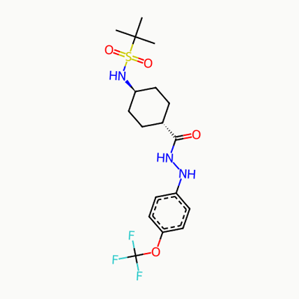 CC(C)(C)S(=O)(=O)N[C@H]1CC[C@H](C(=O)NNc2ccc(OC(F)(F)F)cc2)CC1